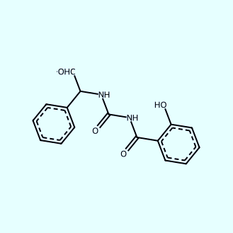 O=[C]C(NC(=O)NC(=O)c1ccccc1O)c1ccccc1